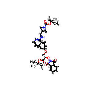 CC(C)(C)OC(=O)[C@H](COc1ccc2c(NCC3CN(C(=O)OC(C)(C)C)C3)nccc2c1)ON1C(=O)c2ccccc2C1=O